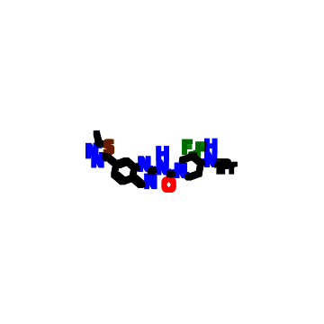 Cc1nnc(-c2ccc3cnc(NC(=O)N4CCC(NC(C)C)C(F)(F)C4)nc3c2)s1